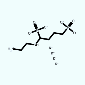 NCCNC(CCCP(=O)([O-])[O-])P(=O)([O-])[O-].[K+].[K+].[K+].[K+]